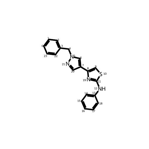 c1ccc(Cn2cc(-c3csc(Nc4ccccc4)n3)cn2)cc1